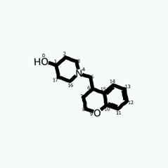 OC1CCN(CC2CCOc3ccccc32)CC1